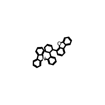 C1=CC(c2cccc3c2oc2ccccc23)C(c2ccccc2-n2c3ccccc3c3ccccc32)CC1